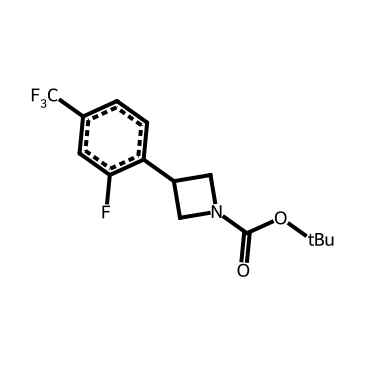 CC(C)(C)OC(=O)N1CC(c2ccc(C(F)(F)F)cc2F)C1